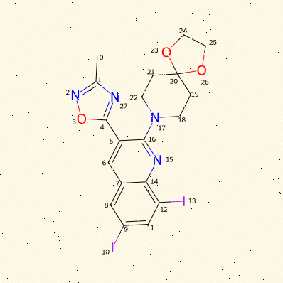 Cc1noc(-c2cc3cc(I)cc(I)c3nc2N2CCC3(CC2)OCCO3)n1